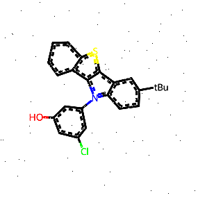 CC(C)(C)c1ccc2c(c1)c1sc3ccccc3c1n2-c1cc(O)cc(Cl)c1